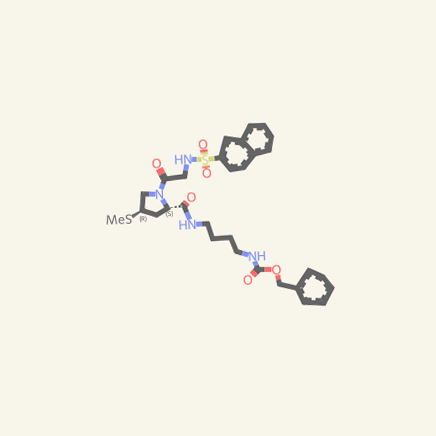 CS[C@@H]1C[C@@H](C(=O)NCCCCNC(=O)OCc2ccccc2)N(C(=O)CNS(=O)(=O)c2ccc3ccccc3c2)C1